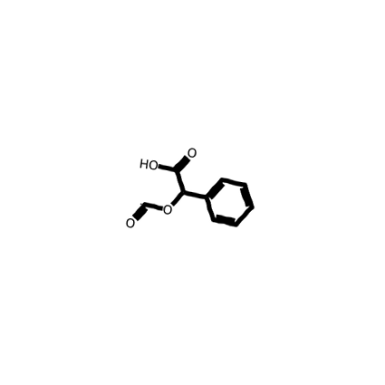 O=[C]OC(C(=O)O)c1ccccc1